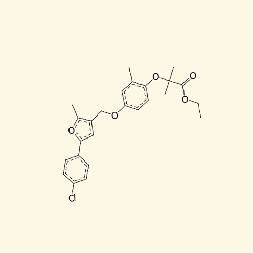 CCOC(=O)C(C)(C)Oc1ccc(OCc2cc(-c3ccc(Cl)cc3)oc2C)cc1C